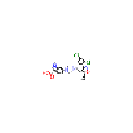 Cn1cc(C(=O)O)c2ccc(N3CCN(CCc4c(-c5ccc(Cl)cc5Cl)noc4C4CC4)CC3)cc21